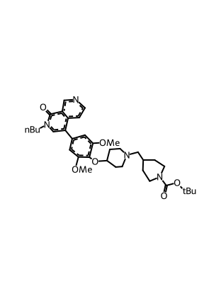 CCCCn1cc(-c2cc(OC)c(OC3CCN(CC4CCN(C(=O)OC(C)(C)C)CC4)CC3)c(OC)c2)c2ccncc2c1=O